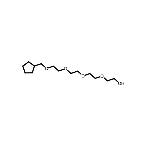 OCCOCCOCCOCCOCC1CCCC1